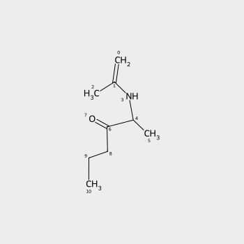 C=C(C)NC(C)C(=O)CCC